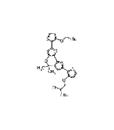 CCCCC(CC)COc1ccsc1-c1cc2c(s1)-c1sc(-c3sccc3OCC(C)CC)cc1OC2(C)C